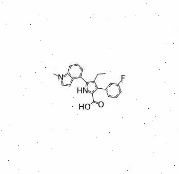 CCc1c(-c2cccc3c2ccn3C)[nH]c(C(=O)O)c1-c1cccc(F)c1